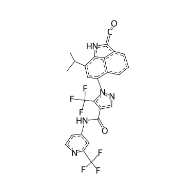 CC(C)c1cc(-n2ncc(C(=O)Nc3ccnc(C(F)(F)F)c3)c2C(F)(F)F)c2cccc3c(=C=O)[nH]c1c23